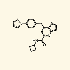 O=C(NC1CCC1)c1cc(Cc2ccc(-n3cccn3)cc2)c2sccc2n1